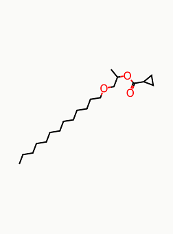 CCCCCCCCCCCCCOCC(C)OC(=O)C1CC1